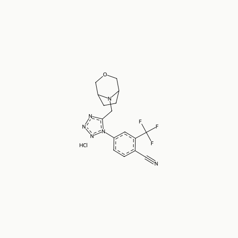 Cl.N#Cc1ccc(-n2nnnc2CN2C3CCC2COC3)cc1C(F)(F)F